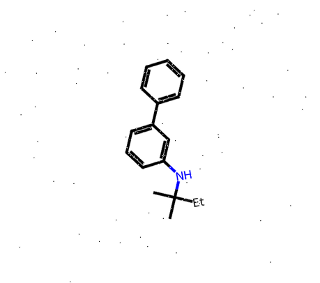 CCC(C)(C)Nc1cccc(-c2ccccc2)c1